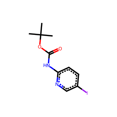 CC(C)(C)OC(=O)Nc1ccc(I)cn1